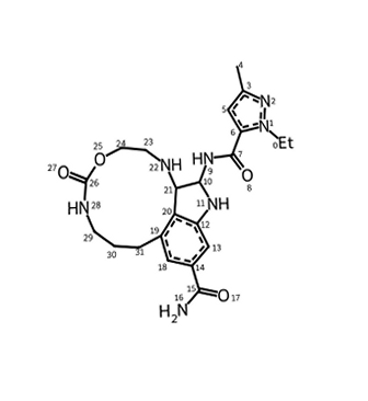 CCn1nc(C)cc1C(=O)NC1Nc2cc(C(N)=O)cc3c2C1NCCOC(=O)NCCC3